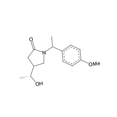 COc1ccc(C(C)N2CC([C@@H](C)O)CC2=O)cc1